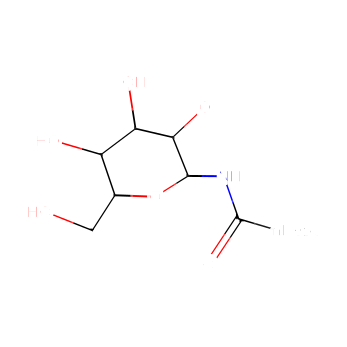 CCCCCCCC(=O)NC1OC(CO)C(O)C(O)C1O